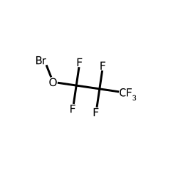 FC(F)(F)C(F)(F)C(F)(F)OBr